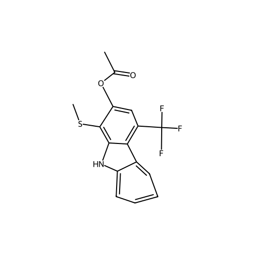 CSc1c(OC(C)=O)cc(C(F)(F)F)c2c1[nH]c1ccccc12